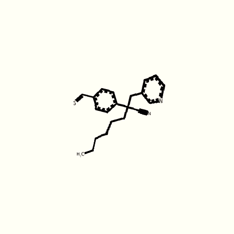 CCCCCCC(C#N)(Cc1cccnc1)c1ccc(C=S)cc1